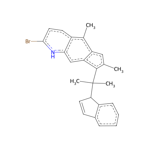 Cc1cc2c(C)c3ccc(Br)[nH]c3cc2c1C(C)(C)C1C=Cc2ccccc21